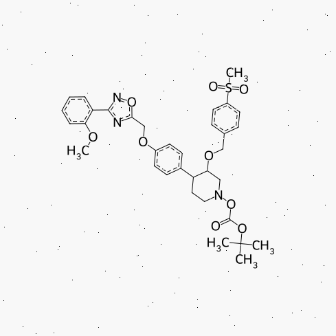 COc1ccccc1-c1noc(COc2ccc(C3CCN(OC(=O)OC(C)(C)C)CC3OCc3ccc(S(C)(=O)=O)cc3)cc2)n1